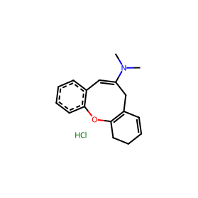 CN(C)C1=Cc2ccccc2OC2=C(C=CCC2)C1.Cl